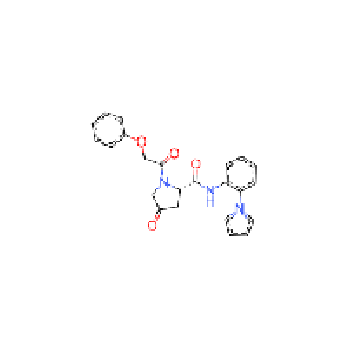 O=C1C[C@@H](C(=O)Nc2ccccc2-n2cccc2)N(C(=O)COc2ccccc2)C1